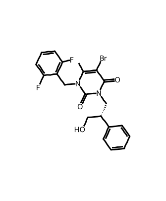 Cc1c(Br)c(=O)n(C[C@@H](CO)c2ccccc2)c(=O)n1Cc1c(F)cccc1F